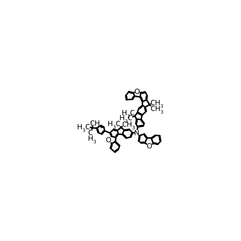 CC(C)(C)c1ccc(-c2cc3c(c4c2oc2ccccc24)-c2ccc(N(c4ccc5c(c4)C(C)(C)c4cc6c(cc4-5)C(C)(C)c4ccc5oc7ccccc7c5c4-6)c4ccc5oc6ccccc6c5c4)cc2C3(C)C)cc1